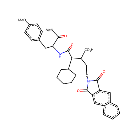 CNC(=O)C(Cc1ccc(OC)cc1)NC(=O)C(C1CCCCC1)C(CCN1C(=O)c2cc3ccccc3cc2C1=O)C(=O)O